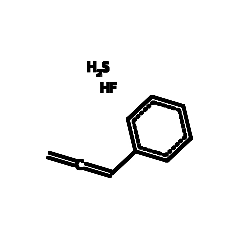 C=C=Cc1ccccc1.F.S